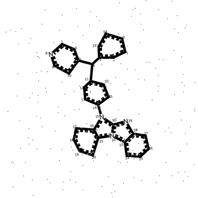 c1ccc(C(c2ccncc2)c2ccc(-n3c4ccccc4n4c5ccccc5nc34)cc2)cc1